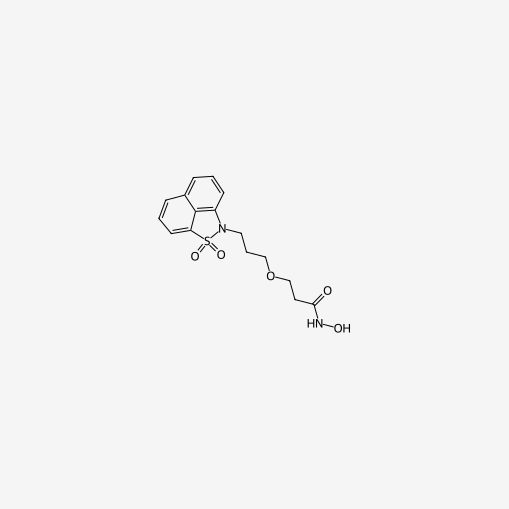 O=C(CCOCCCN1c2cccc3cccc(c23)S1(=O)=O)NO